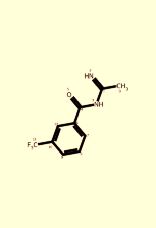 CC(=N)NC(=O)c1cccc(C(F)(F)F)c1